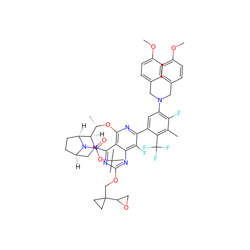 COc1ccc(CN(Cc2ccc(OC)cc2)c2cc(-c3nc4c5c(nc(OCC6(C7CO7)CC6)nc5c3F)N3C[C@H]5CC[C@@H]([C@H]3[C@H](C)O4)N5C(=O)OC(C)(C)C)c(C(F)(F)F)c(C)c2F)cc1